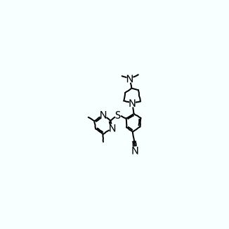 Cc1cc(C)nc(Sc2cc(C#N)ccc2N2CCC(N(C)C)CC2)n1